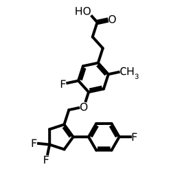 Cc1cc(OCC2=C(c3ccc(F)cc3)CC(F)(F)C2)c(F)cc1CCC(=O)O